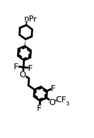 CCC[C@H]1CC[C@H](c2ccc(C(F)(F)OCCc3cc(F)c(OC(F)(F)F)c(F)c3)cc2)CC1